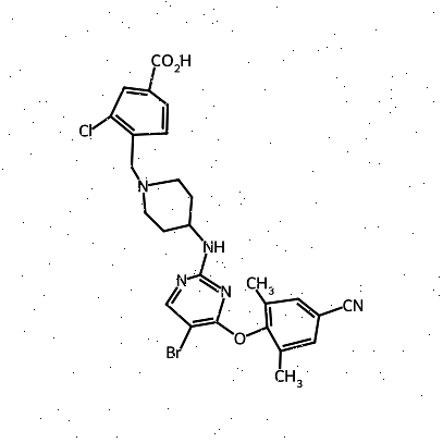 Cc1cc(C#N)cc(C)c1Oc1nc(NC2CCN(Cc3ccc(C(=O)O)cc3Cl)CC2)ncc1Br